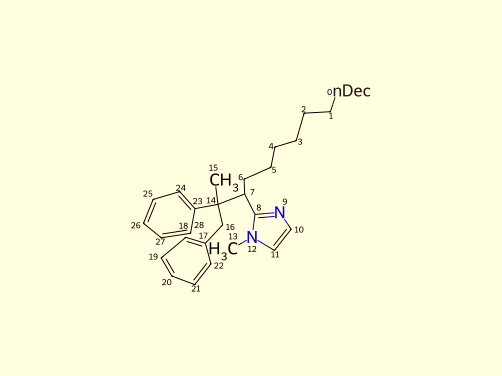 CCCCCCCCCCCCCCCCC(c1nccn1C)C(C)(Cc1ccccc1)c1ccccc1